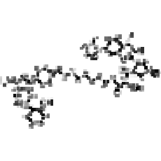 Cc1ncsc1-c1ccc([C@H](C)NC(=O)[C@@H]2C[C@@H](O)CN2C(=O)[C@H](C(=O)CCCCCCCCCN2CCC(n3nc(N)c4nnc(-c5ccccc5O)cc43)CC2)C(C)(C)C)cc1